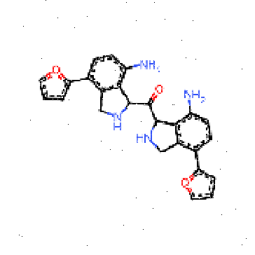 Nc1ccc(-c2ccco2)c2c1C(C(=O)C1NCc3c(-c4ccco4)ccc(N)c31)NC2